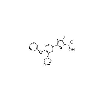 Cc1nc(-c2ccc(Oc3ccccc3)c(-n3ccnc3)c2)sc1C(=O)O